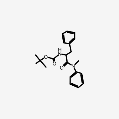 CN(C(=O)C(Cc1ccccc1)NC(=O)OC(C)(C)C)c1ccccc1